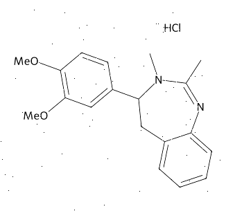 COc1ccc(C2Cc3ccccc3N=C(C)N2C)cc1OC.Cl